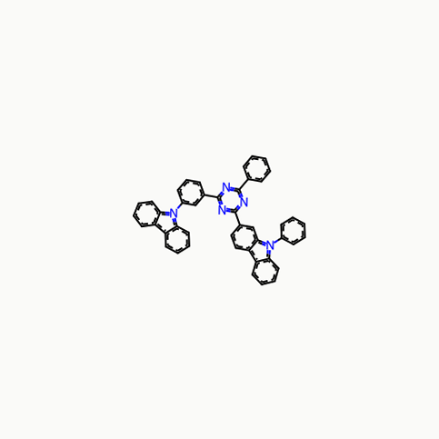 c1ccc(-c2nc(-c3cccc(-n4c5ccccc5c5ccccc54)c3)nc(-c3ccc4c5ccccc5n(-c5ccccc5)c4c3)n2)cc1